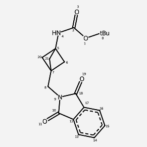 CC(C)(C)OC(=O)NC12CC(CN3C(=O)c4ccccc4C3=O)(C1)C2